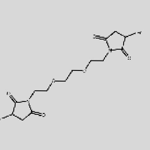 CC(C)C1CC(=O)N(CCOCCOCCN2C(=O)CC(C(C)C)C2=O)C1=O